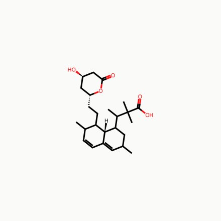 CC1C=C2C=CC(C)C(CC[C@@H]3C[C@@H](O)CC(=O)O3)[C@@H]2C(C(C)C(C)(C)C(=O)O)C1